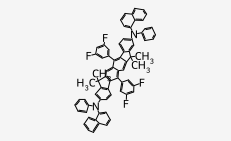 CC1(C)c2cc(N(c3ccccc3)c3cccc4ccccc34)ccc2-c2c1cc1c(-c3cc(F)cc(F)c3)c3c(cc1c2-c1cc(F)cc(F)c1)C(C)(C)c1cc(N(c2ccccc2)c2cccc4ccccc24)ccc1-3